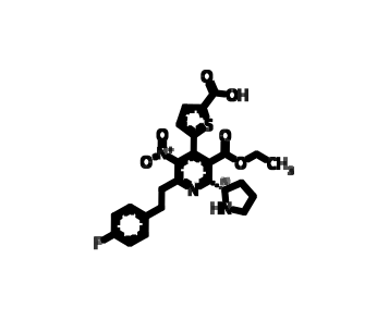 CCOC(=O)c1c([C@@H]2CCCN2)nc(CCc2ccc(F)cc2)c([N+](=O)[O-])c1-c1ccc(C(=O)O)s1